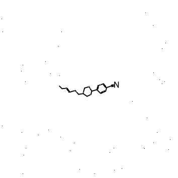 CC/C=C/CCC1CCC(c2ccc(C#N)cc2)CC1